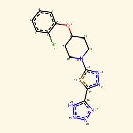 Brc1ccccc1OC1CCN(c2nnc(-c3nnn[nH]3)s2)CC1